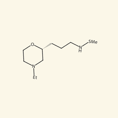 CCN1CCO[C@H](CCCNSC)C1